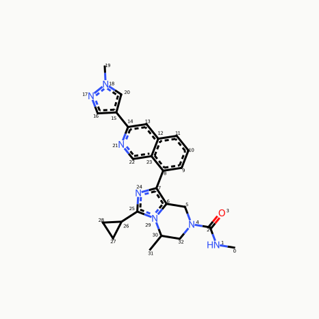 CNC(=O)N1Cc2c(-c3cccc4cc(-c5cnn(C)c5)ncc34)nc(C3CC3)n2C(C)C1